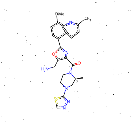 COc1ccc(-c2nc(C(=O)N3CCN(c4nncs4)C[C@@H]3C)c(CN)o2)c2ccc(C(F)(F)F)nc12